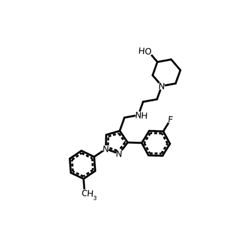 Cc1cccc(-n2cc(CNCCN3CCCC(O)C3)c(-c3cccc(F)c3)n2)c1